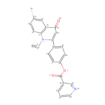 CCOC(=O)n1c(-c2ccc(OC(=O)c3cccnc3)cc2)cc(=O)c2cc(F)ccc21